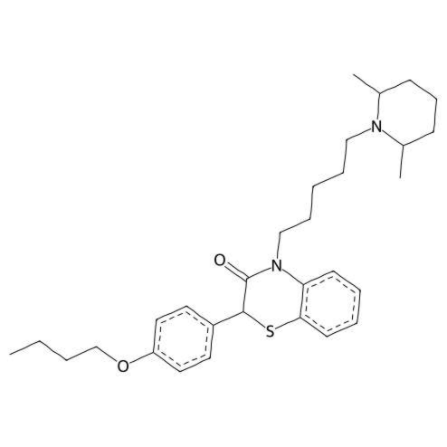 CCCCOc1ccc(C2Sc3ccccc3N(CCCCCN3C(C)CCCC3C)C2=O)cc1